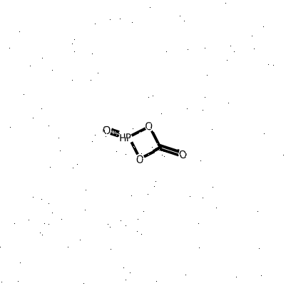 O=C1O[PH](=O)O1